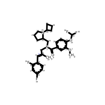 COc1cc(C(=O)N(C/C(C)=C/c2ccc(F)cc2F)CC2CCCN2C2CCC2)ccc1OC(F)F